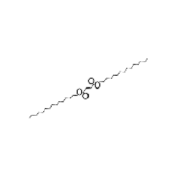 CCCCCCCCCCCCCCCOC(=O)/C=C/C(=O)OCCCCCCCCCCCCCCC